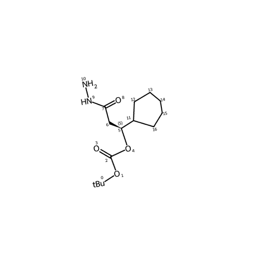 CC(C)(C)OC(=O)O[C@@H](CC(=O)NN)C1CCCCC1